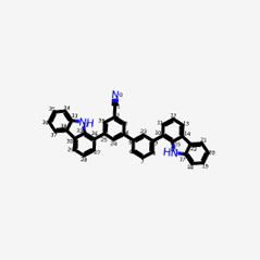 N#Cc1cc(-c2cccc(-c3cccc4c3[nH]c3ccccc34)c2)cc(-c2cccc3c2[nH]c2ccccc23)c1